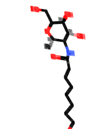 CC(C)[C@@H]1OC(CO)[C@@H](O)[C@H](O)C1NC(=O)CCCCCCCO